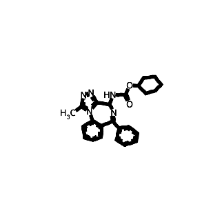 Cc1nnc2n1-c1ccccc1C(c1ccccc1)=NC2NC(=O)OC1CCCCC1